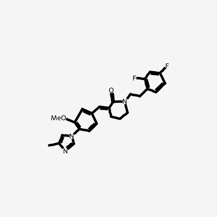 COc1cc(C=C2CCCN(CCc3ccc(F)cc3F)C2=O)ccc1-n1cnc(C)c1